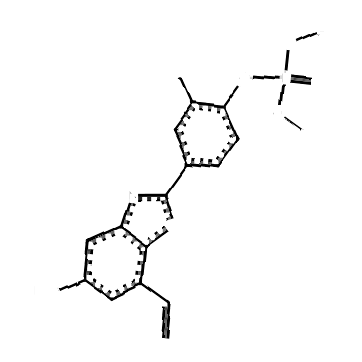 C=Cc1cc(O)cc2nc(-c3ccc(OP(=O)(OCC)OCC)c(F)c3)oc12